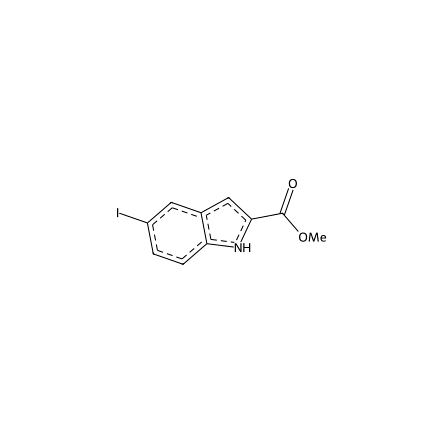 COC(=O)c1cc2cc(I)ccc2[nH]1